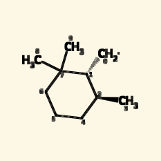 [CH2][C@@H]1[C@@H](C)CCCC1(C)C